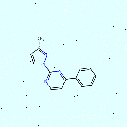 FC(F)(F)c1ccn(-c2n[c]cc(-c3ccccc3)n2)n1